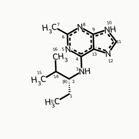 CC[C@@H](Nc1nc(C)nc2[nH]cnc12)C(C)C